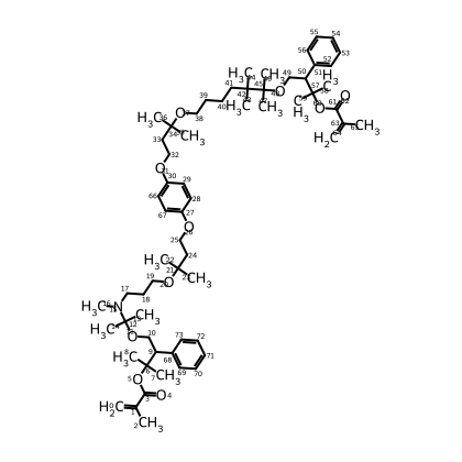 C=C(C)C(=O)OC(C)(C)C(COC(C)(C)N(C)CCCOC(C)(C)CCOc1ccc(OCCC(C)(C)OCCCCC(C)(C)C(C)(C)OCC(c2ccccc2)C(C)(C)OC(=O)C(=C)C)cc1)c1ccccc1